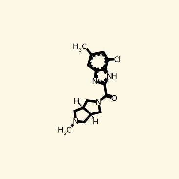 Cc1cc(Cl)c2[nH]c(C(=O)N3C[C@H]4CN(C)C[C@H]4C3)nc2c1